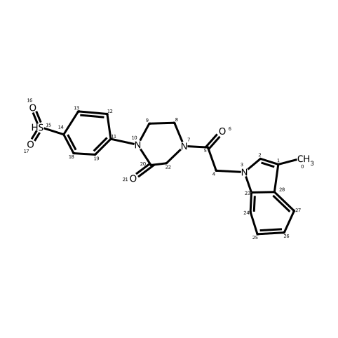 Cc1cn(CC(=O)N2CCN(c3ccc([SH](=O)=O)cc3)C(=O)C2)c2ccccc12